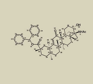 CC(=O)N[C@@]1(C)[C@@H]2CC[C@]3(C)[C@H](C(=O)C=C4[C@@H]5C[C@@](C)(C(=O)OC(c6ccccc6)c6ccccc6)CC[C@]5(C)CC[C@]43C)[C@@]2(C)CC[C@@H]1O